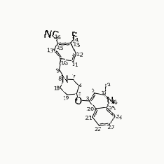 Cc1cc(OC2CCN(Cc3ccc(F)c(C#N)c3)CC2)c2ccccc2n1